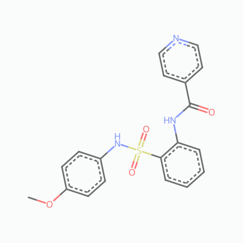 COc1ccc(NS(=O)(=O)c2ccccc2NC(=O)c2ccncc2)cc1